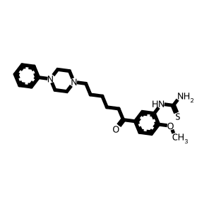 COc1ccc(C(=O)CCCCCN2CCN(c3ccccc3)CC2)cc1NC(N)=S